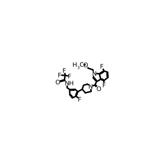 COCCn1cc(C(=O)N2CCC(c3cc(CNC(=O)C(F)(F)F)ccc3F)CC2)c2c(F)ccc(F)c21